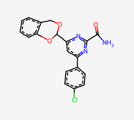 NC(=O)c1nc(-c2ccc(Cl)cc2)cc(C2OCc3ccccc3O2)n1